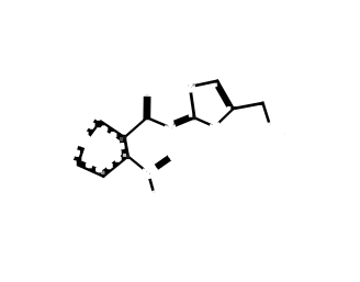 CCC1=C[N]C(=NC(=O)c2ccccc2[N+](=O)[O-])S1